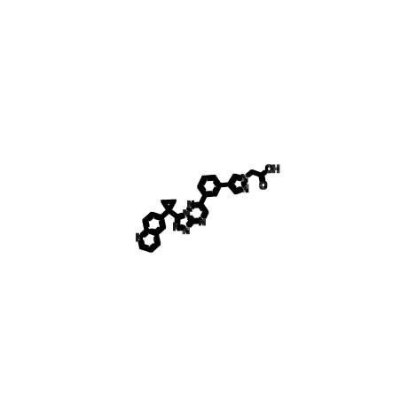 O=C(O)Cn1cc(-c2cccc(-c3cnc4nnc(C5(c6ccc7ncccc7c6)CC5)n4n3)c2)cn1